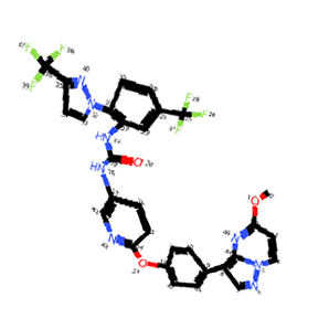 COc1ccn2ncc(-c3ccc(Oc4ccc(NC(=O)Nc5cc(C(F)(F)F)ccc5-n5ccc(C(F)(F)F)n5)cn4)cc3)c2n1